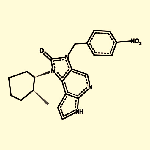 C[C@@H]1CCCC[C@@H]1n1c(=O)n(Cc2ccc([N+](=O)[O-])cc2)c2cnc3[nH]ccc3c21